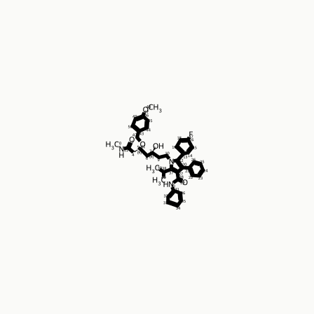 CNC(=O)C[C@@H](C[C@H](O)CCn1c(-c2ccc(F)cc2)c(-c2ccccc2)c(C(=O)Nc2ccccc2)c1C(C)C)OCc1ccc(OC)cc1